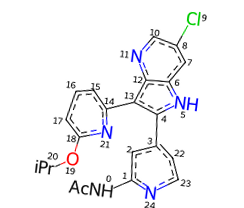 CC(=O)Nc1cc(-c2[nH]c3cc(Cl)cnc3c2-c2cccc(OC(C)C)n2)ccn1